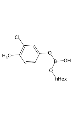 CCCCCCOB(O)Oc1ccc(C)c(Cl)c1